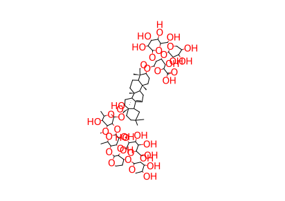 COC1C(O)C(C)OC(OC(=O)[C@]23CCC(C)(C)CC2C2=CCC4[C@@]5(C)CC[C@H](OC6OC(C(=O)O)C(O)C(OC7OCC(O)C(O)C7O)C6OC6OC(CO)C(O)C(O)C6O)[C@@](C)(C=O)C5CC[C@@]4(C)[C@]2(C)C[C@H]3O)C1OC1OC(C)C(OC2OCCC(OC3OCC(O)C(O)C3O)C2O)C(OC2OC(CO)C(O)C(O)C2O)C1O